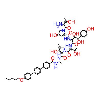 CCCCCOc1ccc(-c2ccc(-c3ccc(C(=O)NC(C)NC(=O)[C@@H]4[C@@H](O)[C@@H](C)CN4C(=O)[C@@H](NC(=O)[C@@H](NC(=O)[C@@H]4C[C@@H](O)CN4C(=O)[C@@H](N)[C@@H](C)O)[C@H](O)[C@@H](O)c4ccc(O)cc4)[C@@H](C)O)cc3)cc2)cc1